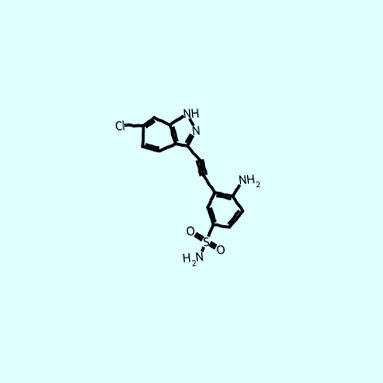 Nc1ccc(S(N)(=O)=O)cc1C#Cc1n[nH]c2cc(Cl)ccc12